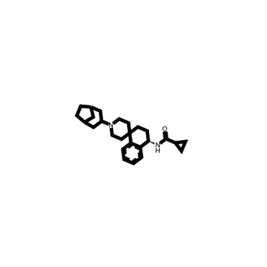 O=C(N[C@H]1CCC2(CCN(C3CC4CCC(C4)C3)CC2)c2ccccc21)C1CC1